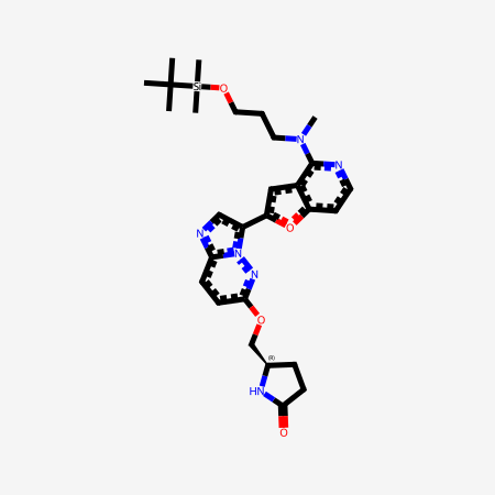 CN(CCCO[Si](C)(C)C(C)(C)C)c1nccc2oc(-c3cnc4ccc(OC[C@H]5CCC(=O)N5)nn34)cc12